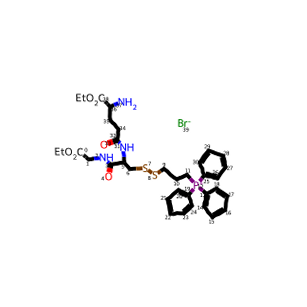 CCOC(=O)CNC(=O)C(CSSCCC[P+](c1ccccc1)(c1ccccc1)c1ccccc1)NC(=O)CCC(N)C(=O)OCC.[Br-]